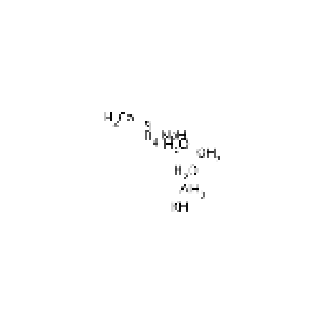 O.O.O.[AlH3].[CaH2].[KH].[NaH].[SiH4]